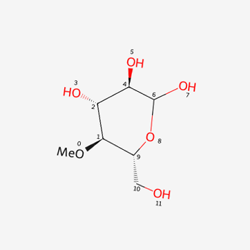 CO[C@H]1[C@H](O)[C@@H](O)C(O)O[C@@H]1CO